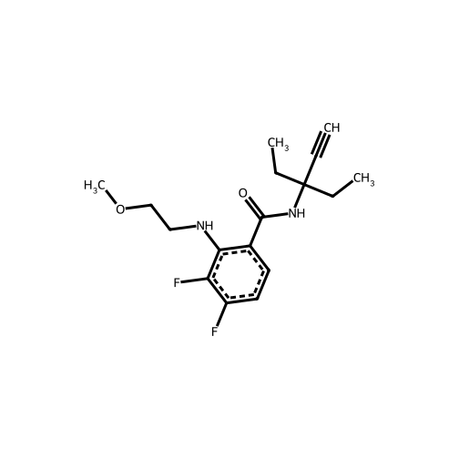 C#CC(CC)(CC)NC(=O)c1ccc(F)c(F)c1NCCOC